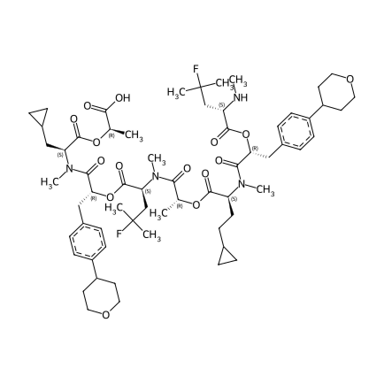 CN[C@@H](CC(C)(C)F)C(=O)O[C@H](Cc1ccc(C2CCOCC2)cc1)C(=O)N(C)[C@@H](CCC1CC1)C(=O)O[C@H](C)C(=O)N(C)[C@@H](CC(C)(C)F)C(=O)O[C@H](Cc1ccc(C2CCOCC2)cc1)C(=O)N(C)[C@@H](CC1CC1)C(=O)O[C@H](C)C(=O)O